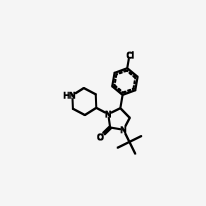 CC(C)(C)N1CC(c2ccc(Cl)cc2)N(C2CCNCC2)C1=O